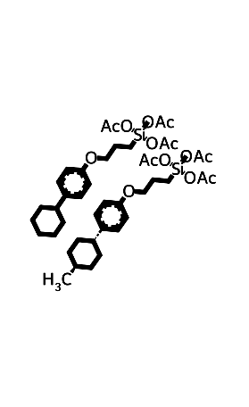 CC(=O)O[Si](CCCOc1ccc(C2CCCCC2)cc1)(OC(C)=O)OC(C)=O.CC(=O)O[Si](CCCOc1ccc([C@H]2CC[C@H](C)CC2)cc1)(OC(C)=O)OC(C)=O